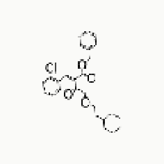 O=C(COCCC1CCCCC1)/C(=C\c1ccccc1Cl)C(=O)OCc1ccccc1